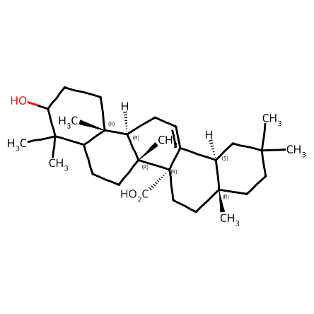 CC1(C)CC[C@]2(C)CC[C@]3(C(=O)O)C(=CC[C@@H]4[C@@]5(C)CCC(O)C(C)(C)C5CC[C@]43C)[C@H]2C1